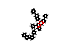 c1ccc(-c2cccc(N(c3cccc(-c4ccccc4N(c4ccc(-c5cccc6c5sc5c7ccccc7ccc65)cc4)c4cccc(-c5ccccc5)c4)c3)c3ccc4cc(-c5ccccc5)ccc4c3)c2)cc1